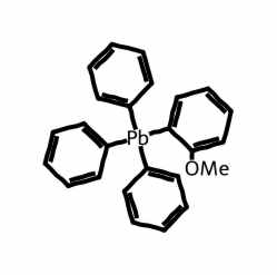 COc1cccc[c]1[Pb]([c]1ccccc1)([c]1ccccc1)[c]1ccccc1